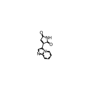 O=C1C=C(c2cnc3ccccn23)C(=O)N1